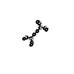 c1ccc2ncc(-c3cc(-c4ccc(-c5ccc(-c6cc(-c7cnc8ccccc8c7)nc(-c7cnc8ccccc8c7)n6)cc5)cc4)nc(-c4cnc5ccccc5c4)n3)cc2c1